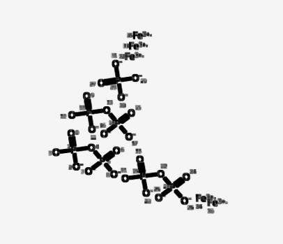 O=P([O-])([O-])OP(=O)([O-])[O-].O=P([O-])([O-])OP(=O)([O-])[O-].O=P([O-])([O-])OP(=O)([O-])[O-].O=P([O-])([O-])[O-].[Fe+3].[Fe+3].[Fe+3].[Fe+3].[Fe+3]